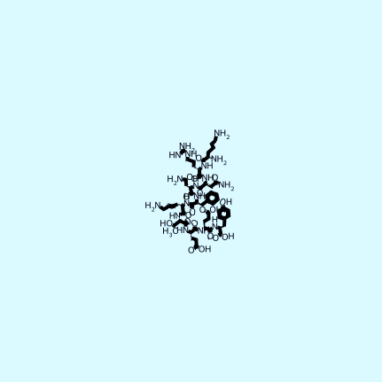 C[C@@H](O)[C@H](NC(=O)[C@H](CCCCN)NC(=O)[C@H](Cc1ccccc1)NC(=O)[C@H](CC(N)=O)NC(=O)[C@H](CC(N)=O)NC(=O)[C@H](CCCNC(=N)N)NC(=O)[C@@H](N)CCCCN)C(=O)N[C@@H](CCC(=O)O)C(=O)N[C@@H](CCC(=O)O)C(=O)N[C@@H](Cc1ccc(O)cc1)C(=O)O